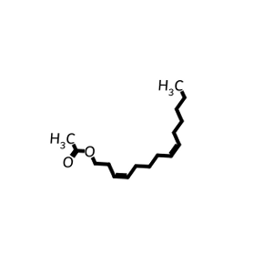 CCCCC/C=C\CCC/C=C\CCOC(C)=O